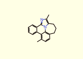 Cc1nc2c3ccccc3c3c(C)ccc4c3n2c1CCC4